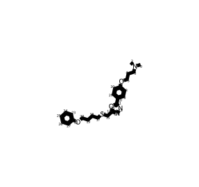 CN(C)CCCOc1ccc(-c2nnc(CSCCCCOc3ccccc3)o2)cc1